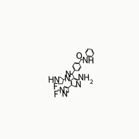 Nc1ncc(-c2cnn(C(F)F)c2)c2c1c(-c1ccc(C(=O)Nc3ccccc3)cc1)nn2C1CCNC1